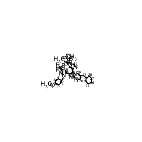 COc1ccc(Cn2nc(C(F)(F)F)nc2-c2nc3ncc(CC4CCCCC4)cn3c2-c2cn(S(=O)(=O)N(C)C)cn2)cc1